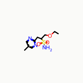 CCOCC(Cc1ncc(C)cn1)S(N)(=O)=O